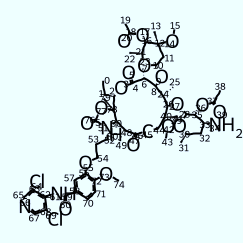 CC[C@H]1OC(=O)[C@H](C)[C@@H](O[C@H]2C[C@@](C)(OC)[C@@H](OC(C)=O)[C@H](C)O2)[C@H](C)[C@@H](OC2O[C@H](C)C[C@H](N)[C@H]2OC(C)=O)[C@](C)(OC)CCC(=O)[C@H](C)[C@H]2N(CCCOc3cc(C(=O)Nc4c(Cl)cncc4Cl)ccc3OC)C(=O)O[C@]12C